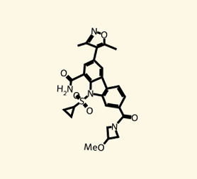 COC1CN(C(=O)c2ccc3c4cc(-c5c(C)noc5C)cc(C(N)=O)c4n(S(=O)(=O)C4CC4)c3c2)C1